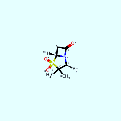 CC(=O)[C@@H]1N2C(=O)C[C@H]2S(=O)(=O)C1(C)C